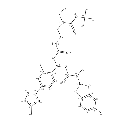 CCN(CCNC(=O)CN(CC(=O)N(C)N1Cc2ccc(C)cc2C1)c1ccc(-c2noc(C)n2)cc1C)C(=O)OC(C)(C)C